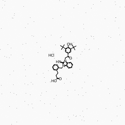 CC(C)(C)c1cc(C(=O)Cn2c(=N)n(Cc3ccccc3CCC(=O)O)c3ccccc32)cc(C(C)(C)C)c1O.Cl